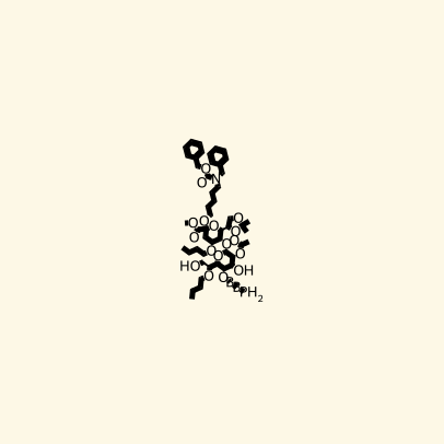 CCCCO[C@@H](CO)C1O[C@H](O[C@H]2C([C@H]3COC(C)(C)O3)O[C@@](OCCCCCN(Cc3ccccc3)C(=O)OCc3ccccc3)(C(=O)OC)C[C@H]2OCCCC)[C@H](OC(C)=O)C(O)[C@@H]1OB=BP